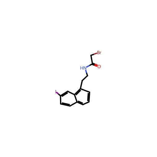 O=C(CBr)NCCc1cccc2ccc(I)cc12